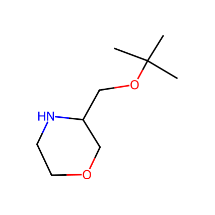 CC(C)(C)OCC1COCCN1